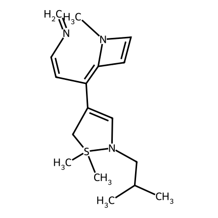 C=N/C=C\C(C1=CN(CC(C)C)S(C)(C)C1)=C1\C=CN1C